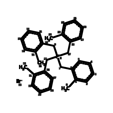 Cc1ccccc1C[P+](Cc1ccccc1C)(Cc1ccccc1C)Cc1ccccc1C.[Br-]